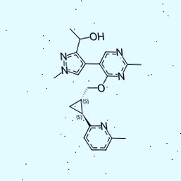 Cc1cccc([C@H]2C[C@@H]2COc2nc(C)ncc2-c2cn(C)nc2C(C)O)n1